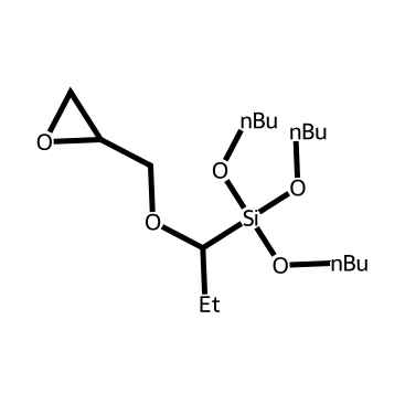 CCCCO[Si](OCCCC)(OCCCC)C(CC)OCC1CO1